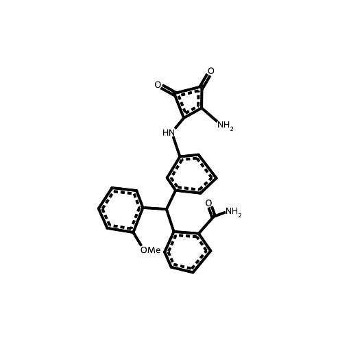 COc1ccccc1C(c1cccc(Nc2c(N)c(=O)c2=O)c1)c1ccccc1C(N)=O